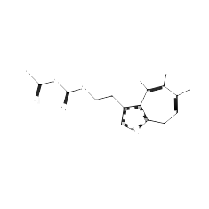 N=C(N)NC(=N)NCCc1c[nH]c2c1C(F)=C(F)C(F)=CC2